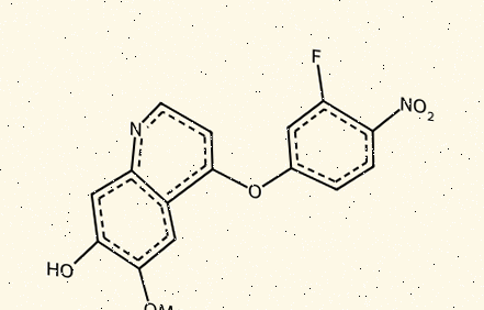 COc1cc2c(Oc3ccc([N+](=O)[O-])c(F)c3)ccnc2cc1O